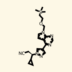 C[Si](C)(C)CCOCn1ccc2c(-c3cnn([C@H](CC#N)C4CC4)c3)ncnc21